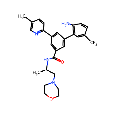 Cc1ccc(-c2cc(C(=O)N[C@H](C)CN3CCOCC3)cc(-c3cc(C(F)(F)F)ccc3N)c2)nc1